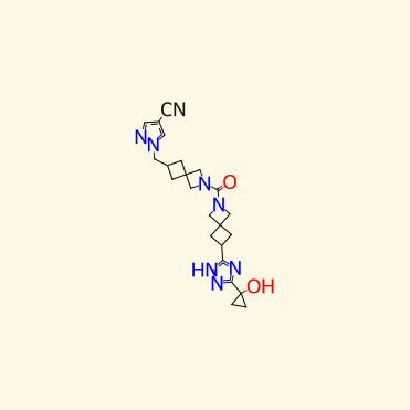 N#Cc1cnn(CC2CC3(C2)CN(C(=O)N2CC4(CC(c5nc(C6(O)CC6)n[nH]5)C4)C2)C3)c1